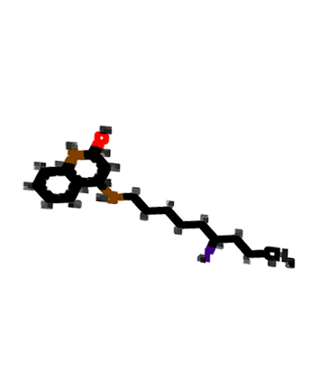 CCCC(I)CCCCCSc1cc(=O)sc2ccccc12